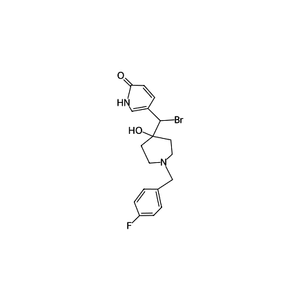 O=c1ccc(C(Br)C2(O)CCN(Cc3ccc(F)cc3)CC2)c[nH]1